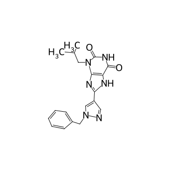 CC(C)Cn1c(=O)[nH]c(=O)c2[nH]c(-c3cnn(Cc4ccccc4)c3)nc21